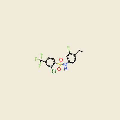 CCc1ccc(NS(=O)(=O)c2ccc(C(F)(F)F)cc2Cl)cc1F